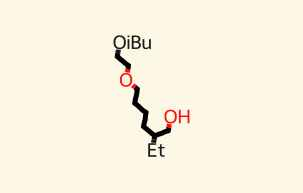 CCC(CO)CCCCOCCOCC(C)C